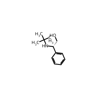 CC(C)(C)N[C@H](CO)c1ccccc1